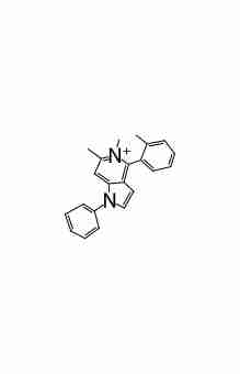 Cc1ccccc1-c1c2ccn(-c3ccccc3)c2cc(C)[n+]1C